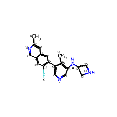 Cc1cc2cc(-c3cncc(NC4CNC4)c3C)c(F)cc2cn1